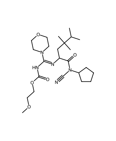 COCCOC(=O)NC(=NC(CC(C)(C)C(C)C)C(=O)N(C#N)C1CCCC1)N1CCOCC1